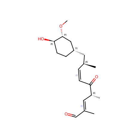 CO[C@@H]1C[C@H](C[C@@H](C)/C=C\C(=O)[C@H](C)/C=C(\C)C=O)CC[C@H]1O